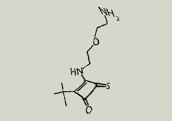 CC(C)(C)c1c(NCCOCCN)c(=S)c1=O